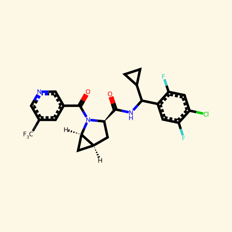 O=C(NC(c1cc(F)c(Cl)cc1F)C1CC1)[C@H]1C[C@H]2C[C@H]2N1C(=O)c1cncc(C(F)(F)F)c1